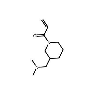 C=CC(=O)N1CCCC(CN(C)C)C1